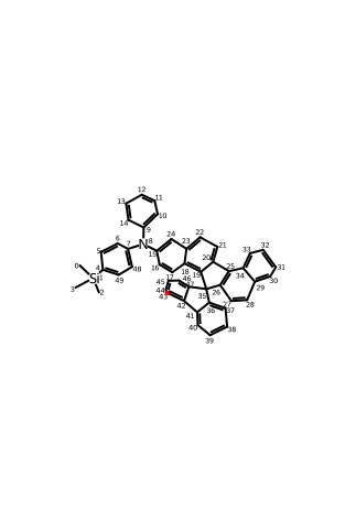 C[Si](C)(C)c1ccc(N(c2ccccc2)c2ccc3c4c(ccc3c2)-c2c(ccc3ccccc23)C42c3ccccc3-c3ccccc32)cc1